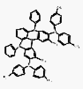 Cc1ccc(N(c2ccc(C)cc2)c2cc3c(cc2C)B2c4cc(C)c(N(c5ccc(C)cc5)c5ccc(C)cc5)cc4N(c4ccccc4)c4cccc(c42)N3c2ccccc2)cc1